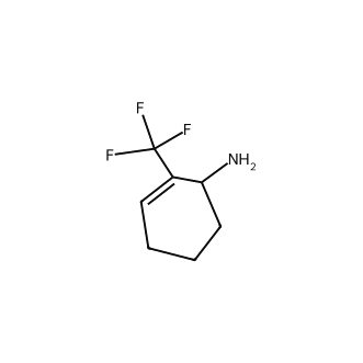 NC1CCCC=C1C(F)(F)F